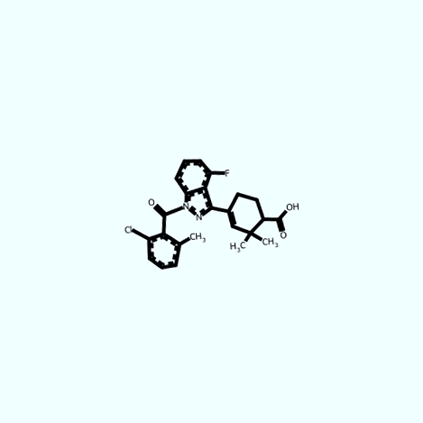 Cc1cccc(Cl)c1C(=O)n1nc(C2=CC(C)(C)C(C(=O)O)CC2)c2c(F)cccc21